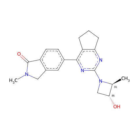 C[C@H]1[C@H](O)CN1c1nc2c(c(-c3ccc4c(c3)CN(C)C4=O)n1)CCC2